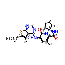 CCOC(=O)c1sc2ncnc(Nc3cc(C)c4n(c3=O)C3(CCCC3)NC4=O)c2c1C